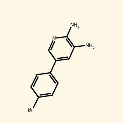 Nc1cc(-c2ccc(Br)cc2)cnc1N